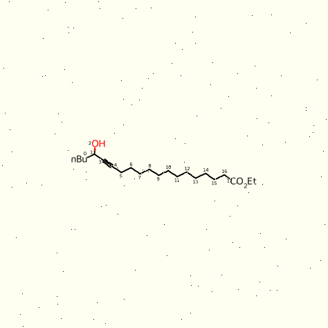 CCCCC(O)C#CCCCCCCCCCCCCC(=O)OCC